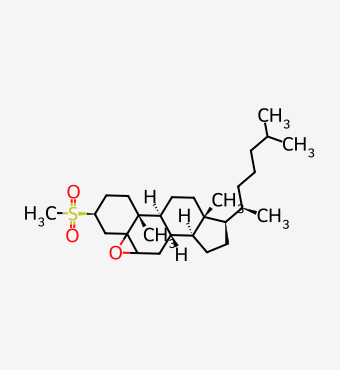 CC(C)CCC[C@@H](C)[C@H]1CC[C@H]2[C@@H]3CC4OC45C[C@@H](S(C)(=O)=O)CC[C@]5(C)[C@H]3CC[C@]12C